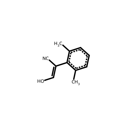 Cc1cccc(C)c1C(C#N)=CO